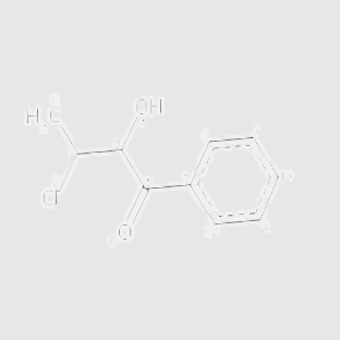 CC(Cl)C(O)C(=O)c1ccccc1